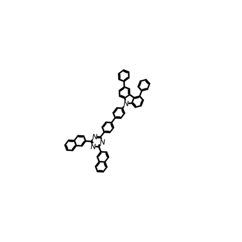 c1ccc(-c2ccc3c(c2)c2c(-c4ccccc4)cccc2n3-c2ccc(-c3ccc(-c4nc(-c5ccc6ccccc6c5)nc(-c5ccc6ccccc6c5)n4)cc3)cc2)cc1